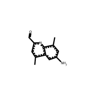 Cc1cc(C=O)nc2c(C)cc(N)cc12